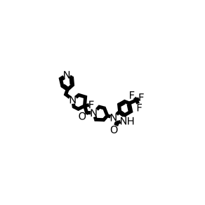 O=C(N1CCC(n2c(=O)[nH]c3cc(C(F)(F)F)ccc32)CC1)C1(F)CCN(Cc2ccncc2)CC1